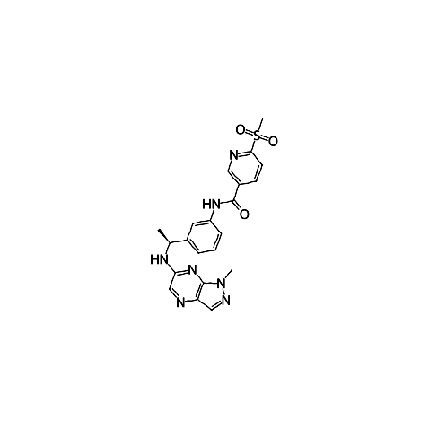 C[C@H](Nc1cnc2cnn(C)c2n1)c1cccc(NC(=O)c2ccc(S(C)(=O)=O)nc2)c1